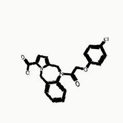 O=C(Cl)c1ccc2n1Cc1ccccc1N(C(=O)COc1ccc(Cl)cc1)C2